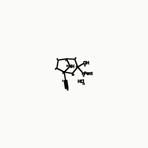 C#CC12CCC(CC(O)(CCCCC)C1)N2.Cl